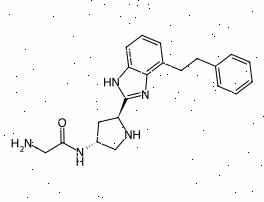 NCC(=O)N[C@H]1CN[C@H](c2nc3c(CCc4ccccc4)cccc3[nH]2)C1